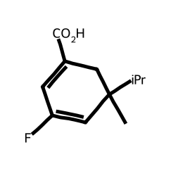 CC(C)C1(C)C=C(F)C=C(C(=O)O)C1